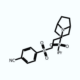 CC(C)S(=O)(=O)N1CC2CCC(C1)N2CCCS(=O)(=O)c1ccc(C#N)cc1